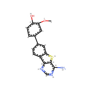 COc1cc(-c2ccc3c(c2)sc2c(N)ncnc23)ccc1O